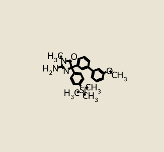 COc1cccc(-c2cccc(C3(c4ccc([Si](C)(C)C)cc4)N=C(N)N(C)C3=O)c2)c1